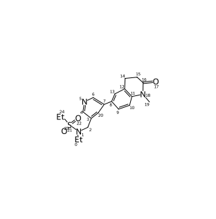 CCN(Cc1cncc(-c2ccc3c(c2)CCC(=O)N3C)c1)S(=O)(=O)CC